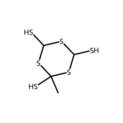 CC1(S)SC(S)SC(S)S1